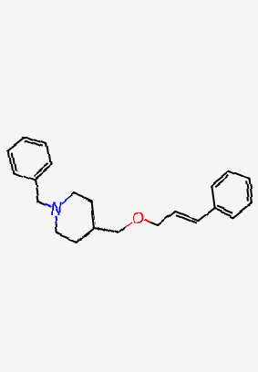 C(=C\c1ccccc1)/COCC1CCN(Cc2ccccc2)CC1